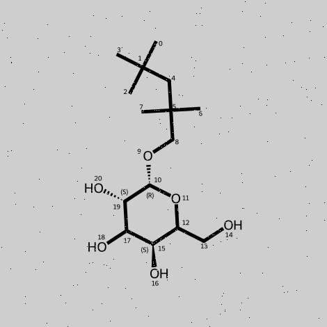 CC(C)(C)CC(C)(C)CO[C@@H]1OC(CO)[C@@H](O)C(O)[C@@H]1O